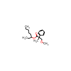 CCCCCC(CC)OC(=O)C(C)(COC)c1ccccc1